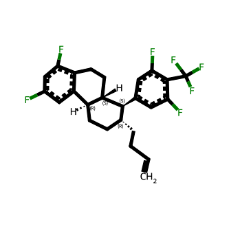 C=CCC[C@@H]1CC[C@H]2c3cc(F)cc(F)c3CC[C@@H]2[C@H]1c1cc(F)c(C(F)(F)F)c(F)c1